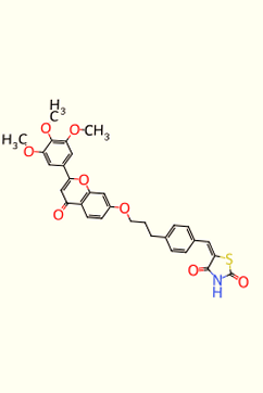 COc1cc(-c2cc(=O)c3ccc(OCCCc4ccc(/C=C5/SC(=O)NC5=O)cc4)cc3o2)cc(OC)c1OC